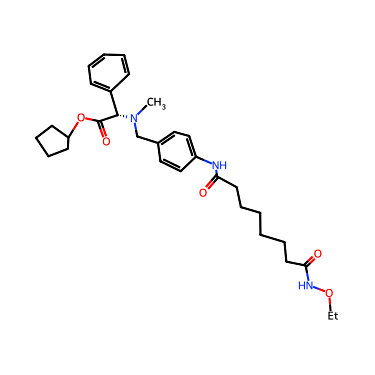 CCONC(=O)CCCCCCC(=O)Nc1ccc(CN(C)[C@H](C(=O)OC2CCCC2)c2ccccc2)cc1